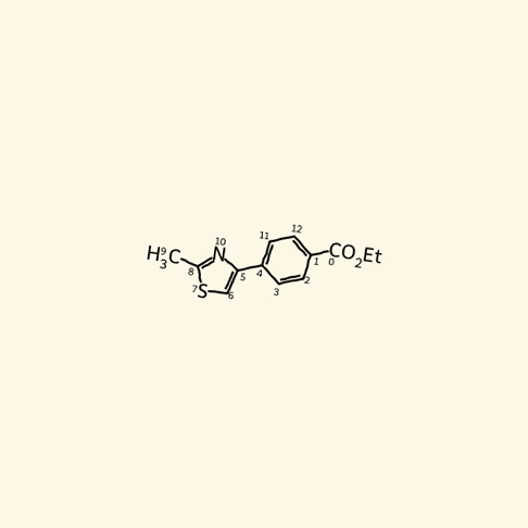 CCOC(=O)c1ccc(-c2csc(C)n2)cc1